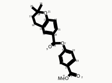 COC(=O)c1ccc(OC(=O)c2ccc3c(c2)CCC(C)(C)O3)cc1